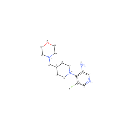 Nc1cncc(F)c1N1CCC(CN2CCOCC2)CC1